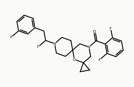 O=C(c1c(F)cccc1F)N1CC2(CCN(C(F)Cc3cccc(F)c3)CC2)OC2(CC2)C1